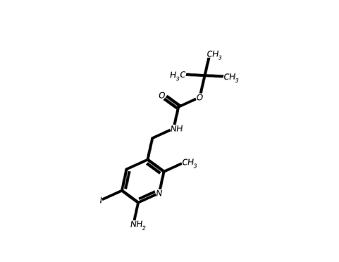 Cc1nc(N)c(I)cc1CNC(=O)OC(C)(C)C